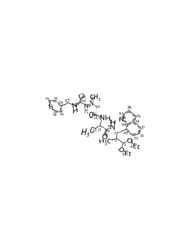 CCOC(OCC)[C@@H](C)[C@H](NC(=O)C(C)NC(=O)CN(C)NC(=O)NCc1ccncc1)c1cccc2cccnc12